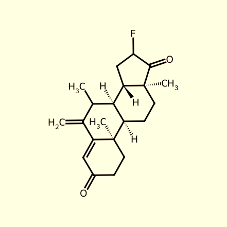 C=C1C2=CC(=O)CC[C@]2(C)[C@@H]2CC[C@]3(C)C(=O)C(F)C[C@H]3[C@@H]2C1C